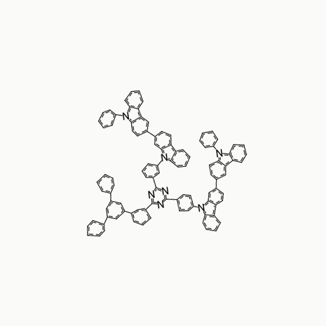 c1ccc(-c2cc(-c3ccccc3)cc(-c3cccc(-c4nc(-c5ccc(-n6c7ccccc7c7ccc(-c8ccc9c(c8)c8ccccc8n9-c8ccccc8)cc76)cc5)nc(-c5cccc(-n6c7ccccc7c7ccc(-c8ccc9c(c8)c8ccccc8n9-c8ccccc8)cc76)c5)n4)c3)c2)cc1